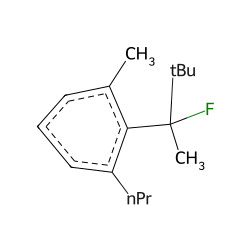 CCCc1cccc(C)c1C(C)(F)C(C)(C)C